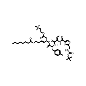 C/C=C(\NC(=O)c1csc(CNC(=O)OC(C)(C)C)n1)C(=O)N[C@@H](Cc1ccc(C)cc1)C(=O)O[C@H](/C=C/CCSC(=O)CCCCCCC)CC(=O)OCC[Si](C)(C)C